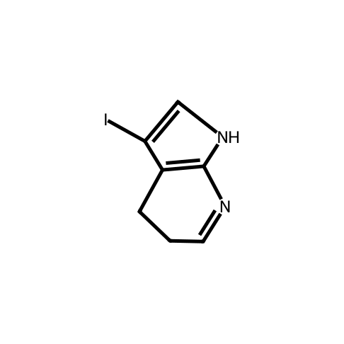 Ic1c[nH]c2c1CCC=N2